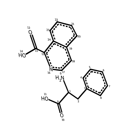 NC(Cc1ccccc1)C(=O)O.O=C(O)c1nccc2ccccc12